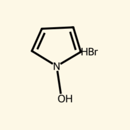 Br.On1cccc1